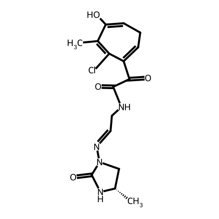 CC1=C(Cl)C(C(=O)C(=O)NC/C=N/N2C[C@H](C)NC2=O)=CCC=C1O